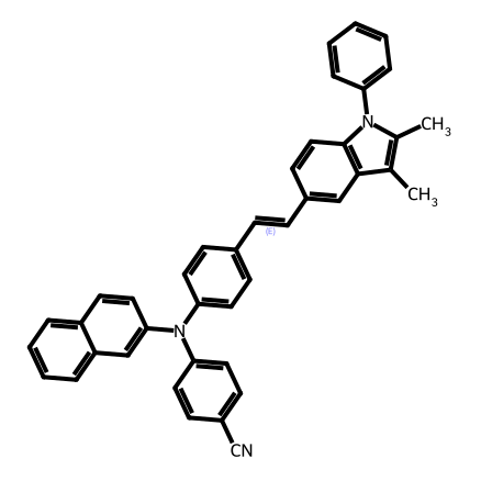 Cc1c(C)n(-c2ccccc2)c2ccc(/C=C/c3ccc(N(c4ccc(C#N)cc4)c4ccc5ccccc5c4)cc3)cc12